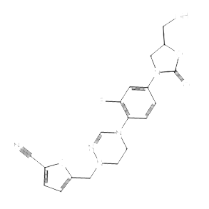 N#Cc1ccc(CN2CCN(c3ccc(N4CC(CO)OC4=O)cc3F)C=N2)s1